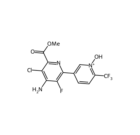 COC(=O)c1nc(-c2ccc(C(F)(F)F)[n+](O)c2)c(F)c(N)c1Cl